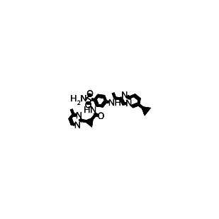 Cc1ccnc(C2CC2C(=O)Nc2cc(NC(C)c3cn4cc(C5CC5)ccc4n3)ccc2S(N)(=O)=O)n1